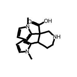 Cn1cccc1C1CCNCC1(C(=O)O)c1cccn1C